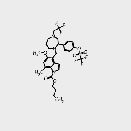 CCCCOC(=O)n1ccc2c(CN3CCCN(CC(F)(F)F)CC3c3ccc(OS(=O)(=O)C(F)(F)F)cc3)c(OC)cc(C)c21